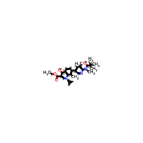 CCOC(=O)c1cn(C2CC2)c2c(C)c(-c3cnc(N(C)C(=O)C(C)(C)C)c(C)c3)ccc2c1=O